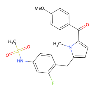 COc1ccc(C(=O)c2ccc(Cc3ccc(NS(C)(=O)=O)cc3F)n2C)cc1